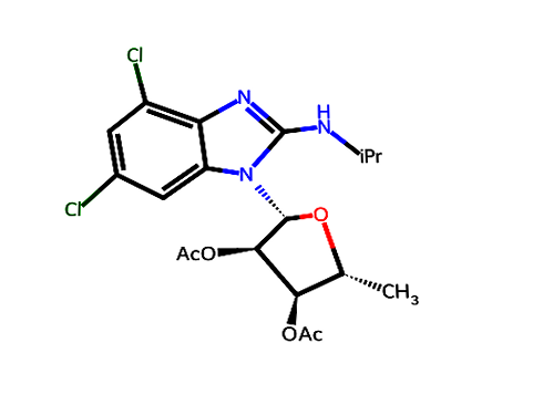 CC(=O)O[C@@H]1[C@H](OC(C)=O)[C@@H](C)O[C@H]1n1c(NC(C)C)nc2c(Cl)cc(Cl)cc21